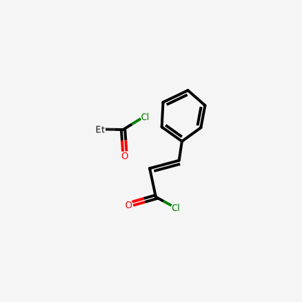 CCC(=O)Cl.O=C(Cl)C=Cc1ccccc1